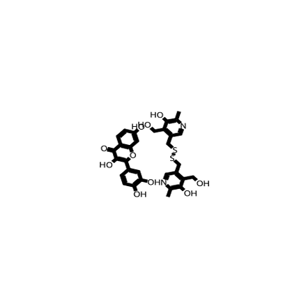 Cc1ncc(CSSCc2cnc(C)c(O)c2CO)c(CO)c1O.O=c1c(O)c(-c2ccc(O)c(O)c2)oc2cc(O)ccc12